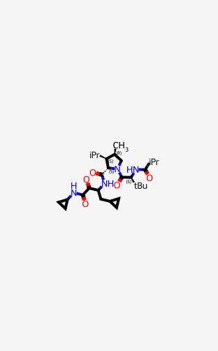 CC(C)C(=O)N[C@H](C(=O)N1C[C@H](C)[C@H](C(C)C)[C@H]1C(=O)NC(CC1CC1)C(=O)C(=O)NC1CC1)C(C)(C)C